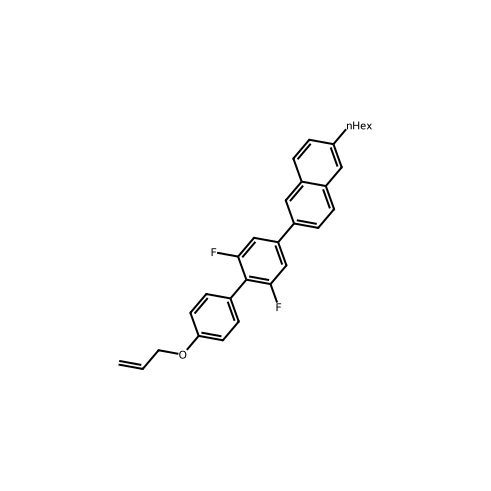 C=CCOc1ccc(-c2c(F)cc(-c3ccc4cc(CCCCCC)ccc4c3)cc2F)cc1